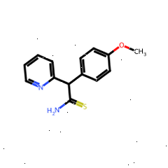 COc1ccc(C(C(N)=S)c2ccccn2)cc1